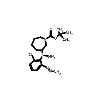 CC(C)(C)OC(=O)N1CCCC[C@@H](N(N)c2c(Cl)cccc2N=NN)C1